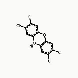 Clc1cc2c(cc1Cl)Oc1cc(Cl)c(Cl)cc1O2.[Ni]